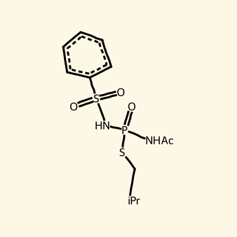 CC(=O)NP(=O)(NS(=O)(=O)c1ccccc1)SCC(C)C